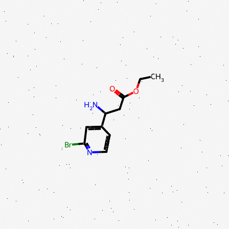 CCOC(=O)CC(N)c1ccnc(Br)c1